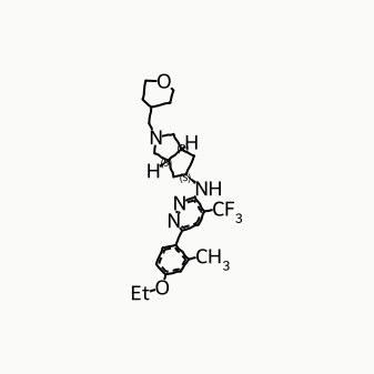 CCOc1ccc(-c2cc(C(F)(F)F)c(N[C@H]3C[C@@H]4CN(CC5CCOCC5)C[C@@H]4C3)nn2)c(C)c1